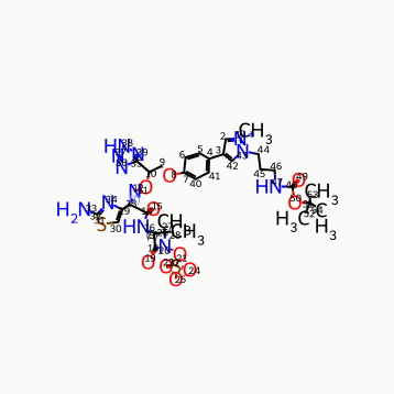 C[n+]1cc(-c2ccc(OCC(O/N=C(\C(=O)N[C@@H]3C(=O)N(OS(=O)(=O)[O-])C3(C)C)c3csc(N)n3)c3nn[nH]n3)cc2)cn1CCCNC(=O)OC(C)(C)C